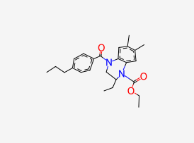 CCCc1ccc(C(=O)N2CC(CC)N(C(=O)OCC)c3cc(C)c(C)cc32)cc1